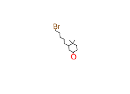 CC1(C)CCC(=O)CC1CCCCCBr